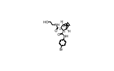 O=C(NCCO)[C@H]1[C@H](C(=O)Nc2ccc(Br)cc2)[C@@H]2C=C[C@H]1C21CC1